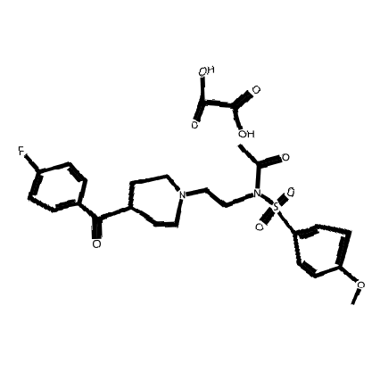 COc1ccc(S(=O)(=O)N(CCN2CCC(C(=O)c3ccc(F)cc3)CC2)C(C)=O)cc1.O=C(O)C(=O)O